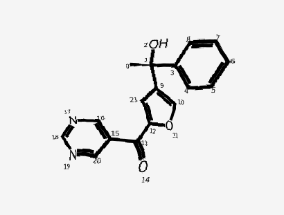 C[C@@](O)(c1ccccc1)c1coc(C(=O)c2cncnc2)c1